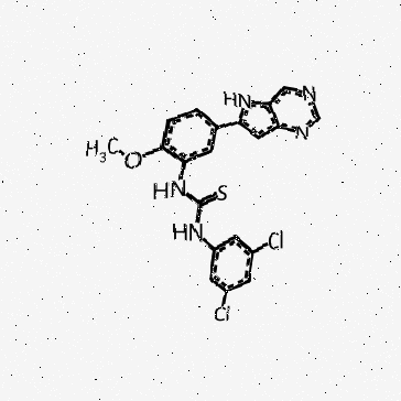 COc1ccc(-c2cc3ncncc3[nH]2)cc1NC(=S)Nc1cc(Cl)cc(Cl)c1